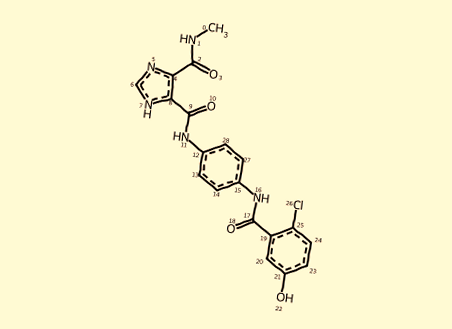 CNC(=O)c1nc[nH]c1C(=O)Nc1ccc(NC(=O)c2cc(O)ccc2Cl)cc1